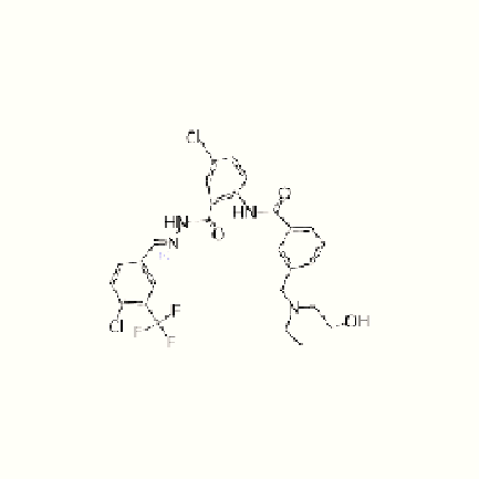 CCN(CCO)Cc1cccc(C(=O)Nc2ccc(Cl)cc2C(=O)N/N=C/c2ccc(Cl)c(C(F)(F)F)c2)c1